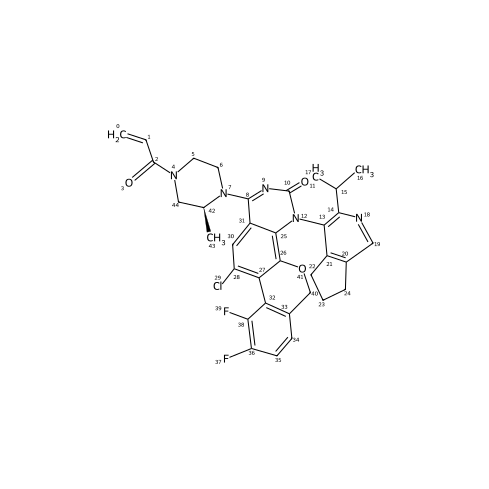 C=CC(=O)N1CCN(c2nc(=O)n(-c3c(C(C)C)ncc4c3CCC4)c3c4c(c(Cl)cc23)-c2c(ccc(F)c2F)CO4)[C@@H](C)C1